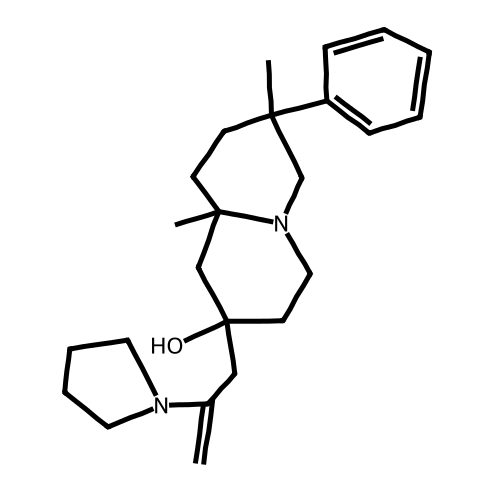 C=C(CC1(O)CCN2CC(C)(c3ccccc3)CCC2(C)C1)N1CCCC1